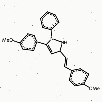 COc1ccc(C=CC2C=C(c3ccc(OC)cc3)N(c3ccccc3)N2)cc1